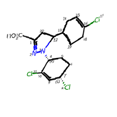 O=C(O)C1=NN([C@@H]2CC[C@H](Cl)C=C2Cl)C(C2CC=C(Cl)CC2)C1